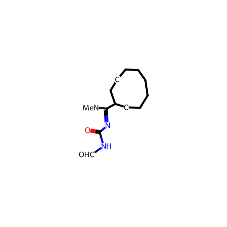 CN/C(=N\C(=O)NC=O)C1CCCCCCCC1